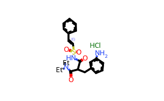 CCN(CC)C(=O)C(Cc1cccc(N)c1)C(=O)NS(=O)(=O)/C=C/c1ccccc1.Cl